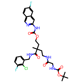 CC(C)(C)OC(=O)NCC(=O)NCCC(C)(CCOC(=O)Nc1cc2cc(F)ccc2cn1)C(=O)NCc1cccc(F)c1Cl